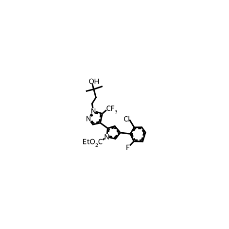 CCOC(=O)n1cc(-c2c(F)cccc2Cl)cc1-c1cnn(CCC(C)(C)O)c1C(F)(F)F